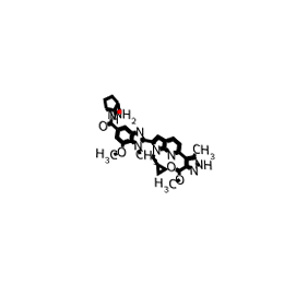 COC(=O)c1n[nH]c(C)c1-c1ccc2cc(-c3nc4cc(C(=O)N5CC6CCC5[C@@H]6N)cc(OC)c4n3C)n(CC3CC3)c2n1